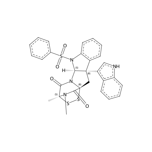 CN1C(=O)[C@]23C[C@]4(c5c[nH]c6ccccc56)c5ccccc5N(S(=O)(=O)c5ccccc5)[C@@H]4N2C(=O)[C@]1(C)SS3